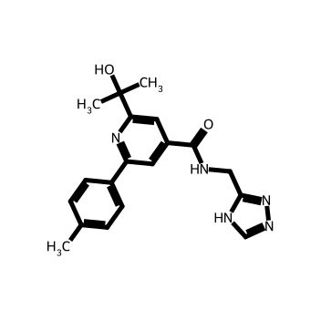 Cc1ccc(-c2cc(C(=O)NCc3nnc[nH]3)cc(C(C)(C)O)n2)cc1